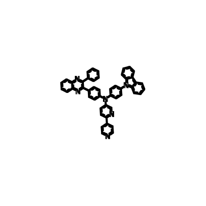 c1ccc(-c2nc3ccccc3nc2-c2ccc(N(c3ccc(-n4c5ccccc5c5ccccc54)cc3)c3ccc(-c4ccncc4)nc3)cc2)cc1